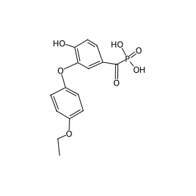 CCOc1ccc(Oc2cc(C(=O)P(=O)(O)O)ccc2O)cc1